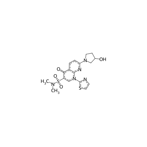 CN(C)S(=O)(=O)c1cn(-c2nccs2)c2nc(N3CCC(O)C3)ccc2c1=O